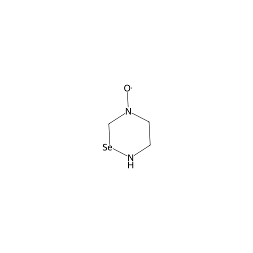 [O]N1CCN[Se]C1